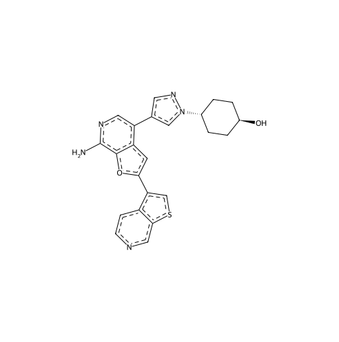 Nc1ncc(-c2cnn([C@H]3CC[C@H](O)CC3)c2)c2cc(-c3csc4cnccc34)oc12